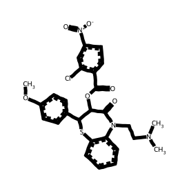 COc1ccc(C2Sc3ccccc3N(CCN(C)C)C(=O)C2OC(=O)c2ccc([N+](=O)[O-])cc2Cl)cc1